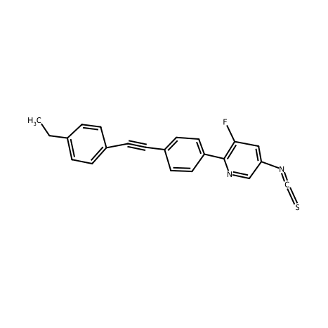 CCc1ccc(C#Cc2ccc(-c3ncc(N=C=S)cc3F)cc2)cc1